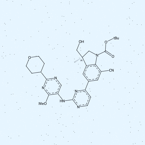 COc1nc(C2CCOCC2)ncc1Nc1nccc(-c2cc(C#N)c3c(c2)[C@@](C)(CO)CN3C(=O)OC(C)(C)C)n1